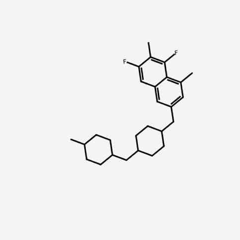 Cc1c(F)cc2cc(CC3CCC(CC4CCC(C)CC4)CC3)cc(C)c2c1F